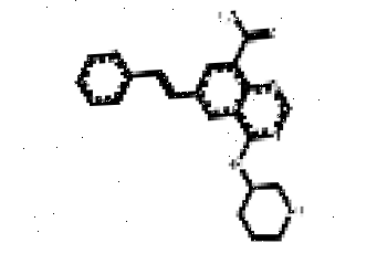 NC(=O)c1cc(C=Cc2ccccc2)cc2c(NC3CCCNC3)ncnc12